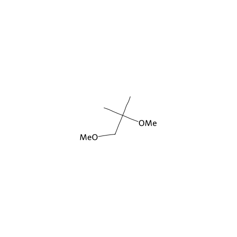 [CH2]OC(C)(C)COC